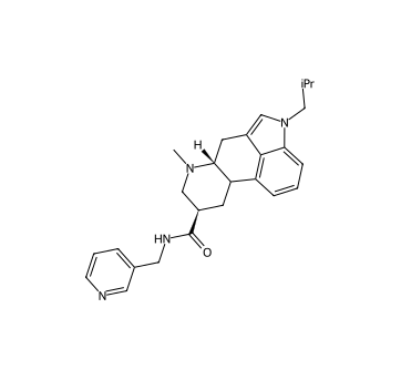 CC(C)Cn1cc2c3c(cccc31)C1C[C@@H](C(=O)NCc3cccnc3)CN(C)[C@@H]1C2